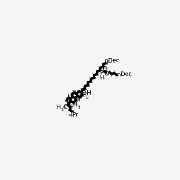 CCCCCCCCCCCCCCOC(=O)PC(CCCCCCCCCCCCCC)CCCCCCCCCCCC1(O)CC[C@@]2(C)C(=CC[C@H]3[C@@H]4CC[C@H]([C@H](C)CCCC(C)C)[C@@]4(C)CC[C@@H]32)C1